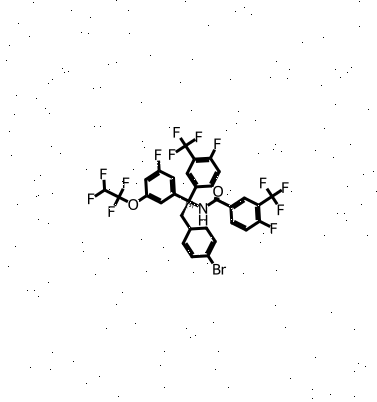 O=C(N[C@](CC1C=CC(Br)=CC1)(c1cc(F)cc(OC(F)(F)C(F)F)c1)c1ccc(F)c(C(F)(F)F)c1)c1ccc(F)c(C(F)(F)F)c1